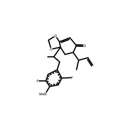 C=CC(C)C1CC2(C(C)Cc3cc(F)c(NC)cc3F)OCOC2=CC1=O